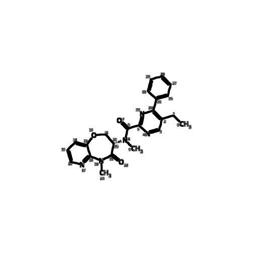 CCc1cnc(C(=O)N(C)[C@H]2COc3cccnc3N(C)C2=O)nc1-c1ccccc1